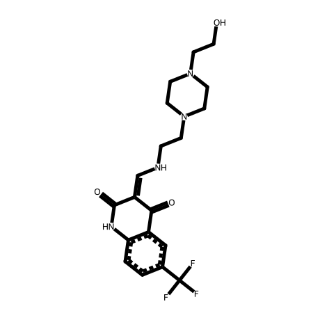 O=C1Nc2ccc(C(F)(F)F)cc2C(=O)C1=CNCCN1CCN(CCO)CC1